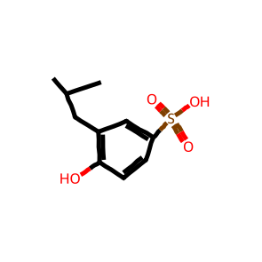 CC(C)Cc1cc(S(=O)(=O)O)ccc1O